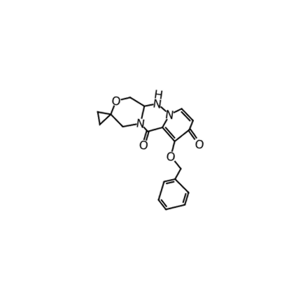 O=C1c2c(OCc3ccccc3)c(=O)ccn2NC2COC3(CC3)CN12